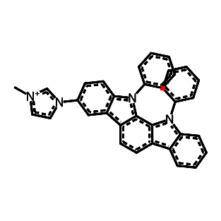 C[n+]1ccn(-c2ccc3c(c2)c2ccc4c5ccccc5n(-c5ccccc5)c4c2n3-c2ccccc2)c1